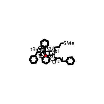 CCCCCON(C(=O)CCc1ccccc1)[C@@](NC(=O)OC(C)(C)C)(C(=O)O)[C@](C)(NCCCSC)C(c1ccccc1)(c1ccccc1)S(=O)(=O)Cc1ccccc1